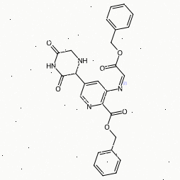 O=C1CNC(c2cnc(C(=O)OCc3ccccc3)c(/N=C\C(=O)OCc3ccccc3)c2)C(=O)N1